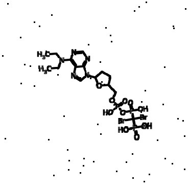 CCN(CC)c1ncnc2c1ncn2C1CCC(COP(=O)(O)OP(=O)(O)C(Br)(Br)P(=O)(O)O)O1